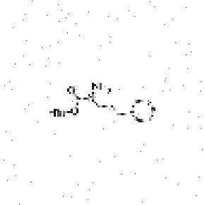 CC(C)(C)OC(=O)N(N)CCCc1ccccc1